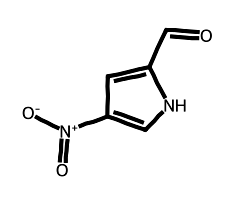 O=Cc1cc([N+](=O)[O-])c[nH]1